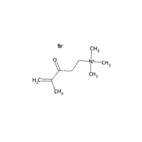 C=C(C)C(=O)CC[N+](C)(C)C.[Br-]